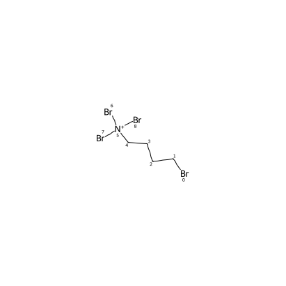 BrCCCC[N+](Br)(Br)Br